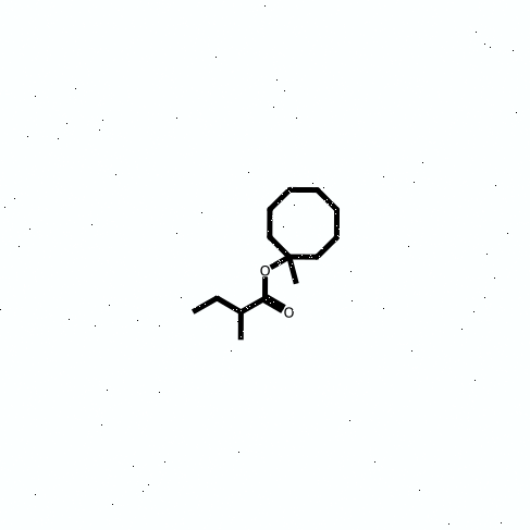 CCC(C)C(=O)OC1(C)CCCCCCC1